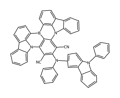 N#Cc1c(N(c2ccccc2)c2ccc3c(c2)c2ccccc2n3-c2ccccc2)c(C#N)c2c3c1-n1c4ccccc4c4cccc(c41)B3c1cccc3c4ccccc4n-2c13